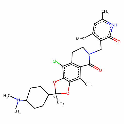 CSc1cc(C)[nH]c(=O)c1CN1CCc2c(Cl)c3c(c(C)c2C1=O)O[C@@](C)(C1CCC(N(C)C)CC1)O3